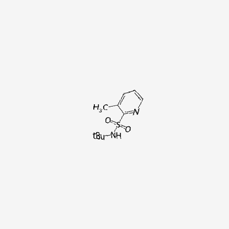 Cc1cccnc1S(=O)(=O)NC(C)(C)C